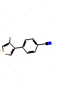 N#Cc1ccc(-c2cscc2Br)cc1